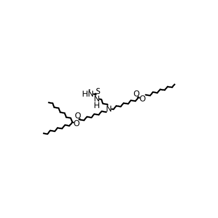 CCCCCCCCCOC(=O)CCCCCCCN(CCCCCCCC(=O)OC(CCCCCCCC)CCCCCCCC)CCCNC(=S)NC